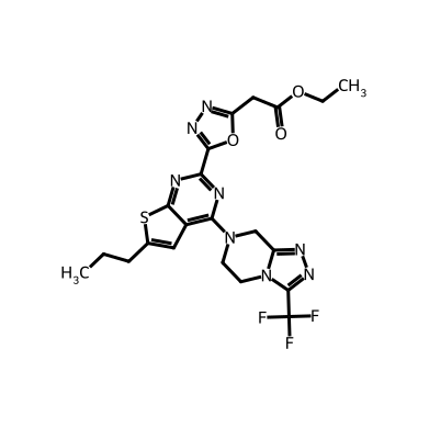 CCCc1cc2c(N3CCn4c(nnc4C(F)(F)F)C3)nc(-c3nnc(CC(=O)OCC)o3)nc2s1